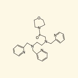 O=C(CN(CCN(Cc1ccccn1)Cc1ccccn1)Cc1ccccn1)N1CCOCC1